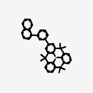 CC1(C)c2cccc3c2N2c4c1cccc4C(C)(C)c1cc(-c4cccc(-c5cccc6ccccc56)c4)cc(c12)C3(C)C